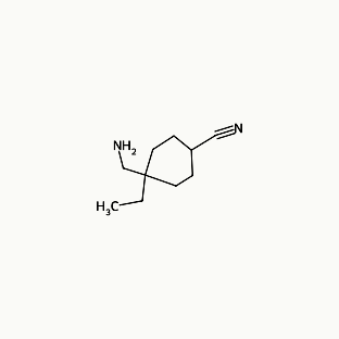 CCC1(CN)CCC(C#N)CC1